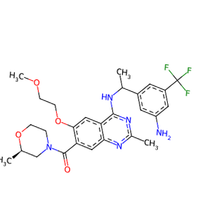 COCCOc1cc2c(NC(C)c3cc(N)cc(C(F)(F)F)c3)nc(C)nc2cc1C(=O)N1CCO[C@H](C)C1